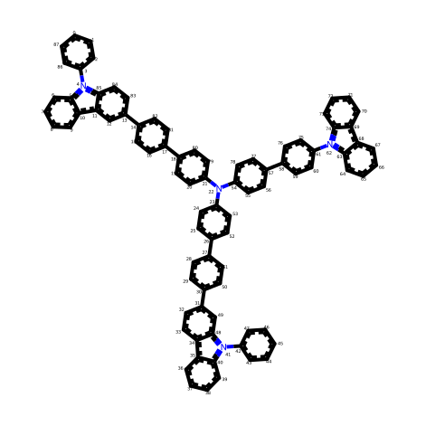 c1ccc(-n2c3ccccc3c3cc(-c4ccc(-c5ccc(N(c6ccc(-c7ccc(-c8ccc9c%10ccccc%10n(-c%10ccccc%10)c9c8)cc7)cc6)c6ccc(-c7ccc(-n8c9ccccc9c9ccccc98)cc7)cc6)cc5)cc4)ccc32)cc1